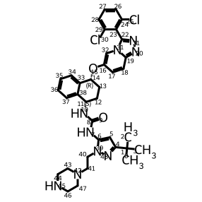 CC(C)(C)c1cc(NC(=O)N[C@H]2CC[C@@H](Oc3ccc4nnc(-c5c(Cl)cccc5Cl)n4c3)c3ccccc32)n(CCN2CCNCC2)n1